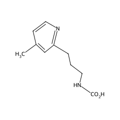 Cc1ccnc(CCCNC(=O)O)c1